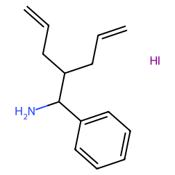 C=CCC(CC=C)C(N)c1ccccc1.I